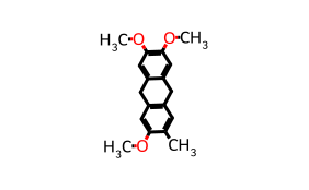 COc1cc2c(cc1C)Cc1cc(OC)c(OC)cc1C2